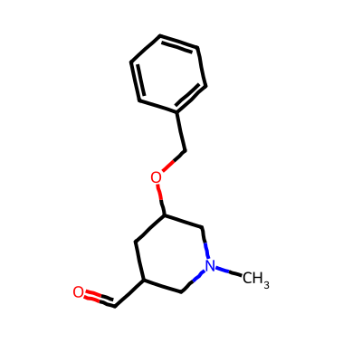 CN1CC(C=O)CC(OCc2ccccc2)C1